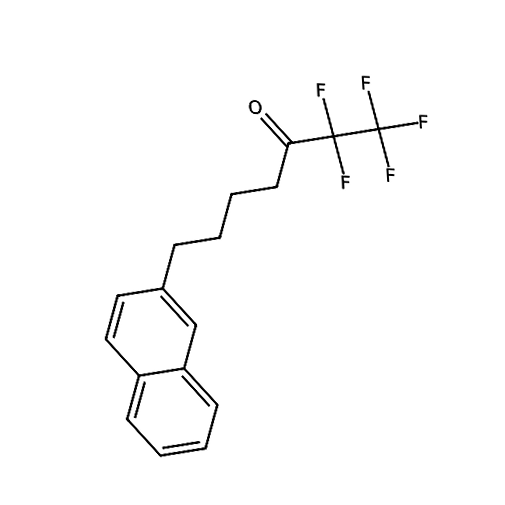 O=C(CCCCc1ccc2ccccc2c1)C(F)(F)C(F)(F)F